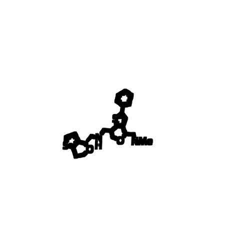 CNCC1OCC(CNC[C@H]2OCCc3sccc32)c2sc(-c3ccccc3)cc21